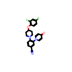 N#Cc1ccc(N2CCC(Oc3ccc(F)cc3F)CC2)c(-n2ccc(=O)cc2)c1